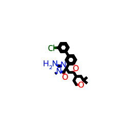 CN1C(=O)C2(CC(C3CCOC(C)(C)C3)Oc3ccc(-c4cccc(Cl)c4)cc32)N=C1N